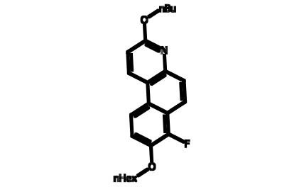 CCCCCCOc1ccc2c(ccc3nc(OCCCC)ccc32)c1F